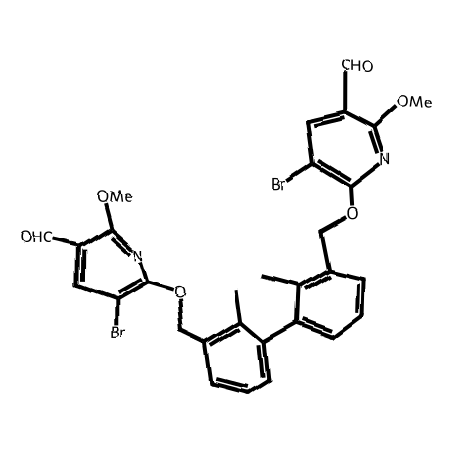 COc1nc(OCc2cccc(-c3cccc(COc4nc(OC)c(C=O)cc4Br)c3C)c2C)c(Br)cc1C=O